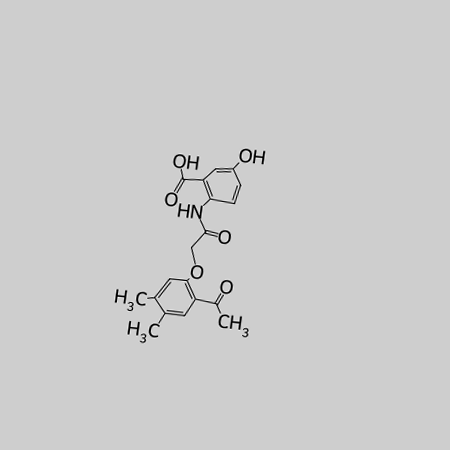 CC(=O)c1cc(C)c(C)cc1OCC(=O)Nc1ccc(O)cc1C(=O)O